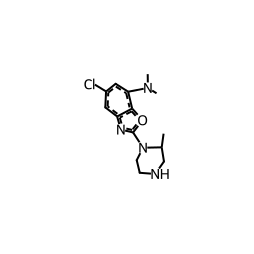 CC1CNCCN1c1nc2cc(Cl)cc(N(C)C)c2o1